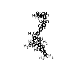 C=CC(=O)Nc1cc(Nc2nc(-c3ccnc(N4CCn5c(cc6c5CC(C)(C)C6)C4=O)c3CO)cnc2OC)ccc1N1CCN(C2CCN(c3ccc4c(c3)C(=O)N(c3ccnc(C(C)(C)OP(=O)(O)O)c3)C4=O)[C@@H](C)C2)C[C@@H]1C